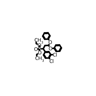 CCOP(=O)(OCC)C(CC(Oc1ccccc1)Oc1ccccc1)c1ccc(Cl)c(Cl)c1